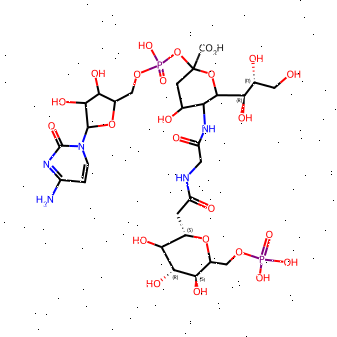 Nc1ccn(C2OC(COP(=O)(O)OC3(C(=O)O)CC(O)C(NC(=O)CNC(=O)C[C@@H]4OC(COP(=O)(O)O)[C@@H](O)[C@H](O)C4O)C([C@H](O)[C@H](O)CO)O3)C(O)C2O)c(=O)n1